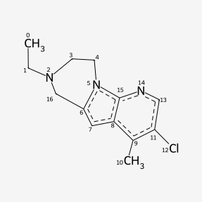 CCN1CCn2c(cc3c(C)c(Cl)cnc32)C1